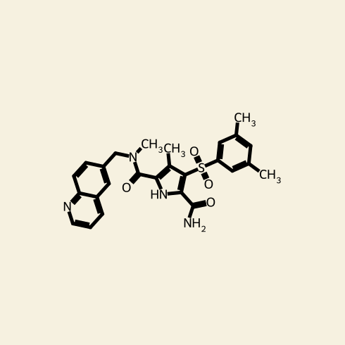 Cc1cc(C)cc(S(=O)(=O)c2c(C(N)=O)[nH]c(C(=O)N(C)Cc3ccc4ncccc4c3)c2C)c1